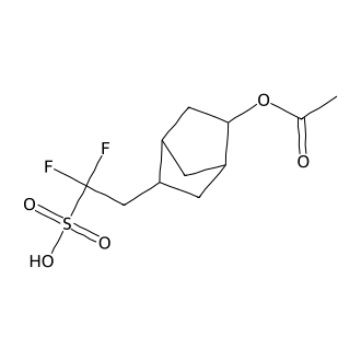 CC(=O)OC1CC2CC1CC2CC(F)(F)S(=O)(=O)O